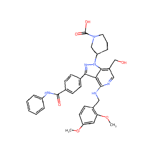 COc1ccc(CNc2ncc(CO)c3c2c(-c2ccc(C(=O)Nc4ccccc4)cc2)nn3C2CCCN(C(=O)O)C2)c(OC)c1